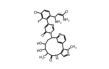 CC1C(=O)Nc2cnn(C)c2-c2ccnc(c2)C(n2cnc(-c3c(N(N)/C=C(\N)Cl)ccc(Cl)c3F)cc2=O)CC(O)C1O